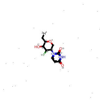 [2H]CC1OCC(n2ccc(=O)[nH]c2=O)C(F)C1O